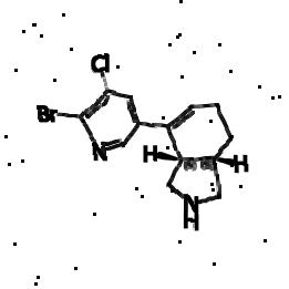 Clc1cc(C2=CCC[C@@H]3CNC[C@H]23)cnc1Br